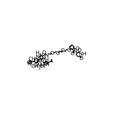 CCn1nc(C2CC2)cc1Nc1nc(C(=O)NCCOCCOCCOCCOc2cccc3c2C(=O)N(C2CCC(=O)NC2=O)C3=O)nc2[nH]c3cc(-c4c(C)noc4C)c(OC)cc3c12